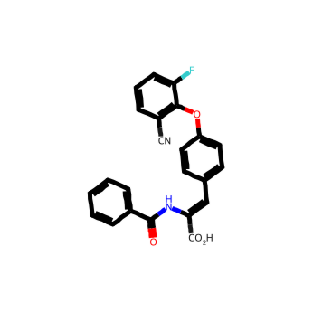 N#Cc1cccc(F)c1Oc1ccc(C=C(NC(=O)c2ccccc2)C(=O)O)cc1